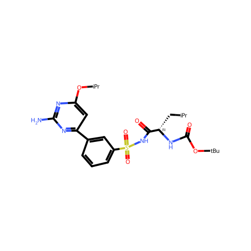 CC(C)C[C@H](NC(=O)OC(C)(C)C)C(=O)NS(=O)(=O)c1cccc(-c2cc(OC(C)C)nc(N)n2)c1